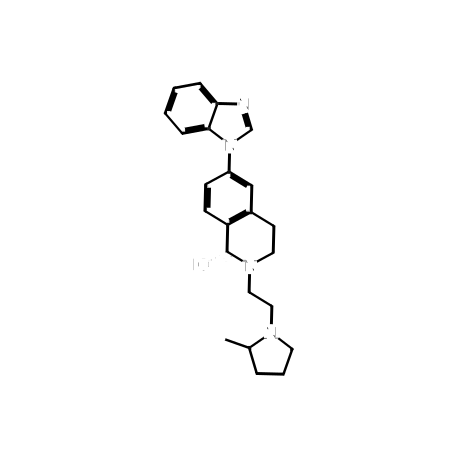 CC1CCCN1CCN1CCc2cc(-n3cnc4ccccc43)ccc2[C@H]1O